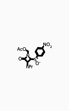 CCCC1C(=O)N(COC(C)=O)C1[S+]([O-])c1ccc([N+](=O)[O-])cc1